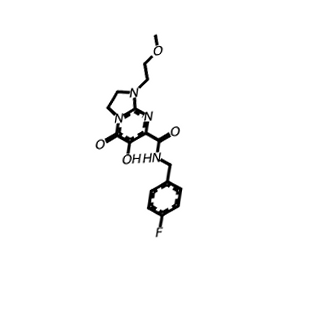 COCCN1CCn2c1nc(C(=O)NCc1ccc(F)cc1)c(O)c2=O